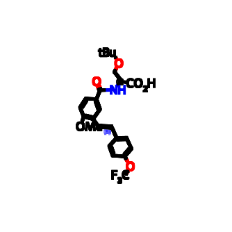 COc1ccc(C(=O)N[C@@H](COC(C)(C)C)C(=O)O)cc1/C=C/c1ccc(OC(F)(F)F)cc1